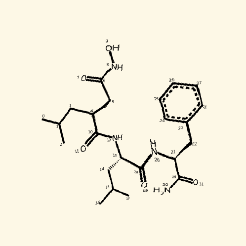 CC(C)CC(CC(=O)NO)C(=O)N[C@@H](CC(C)C)C(=O)N[C@@H](Cc1ccccc1)C(N)=O